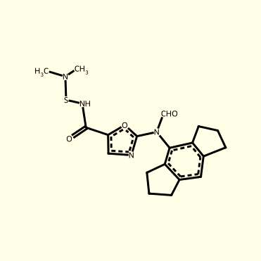 CN(C)SNC(=O)c1cnc(N(C=O)c2c3c(cc4c2CCC4)CCC3)o1